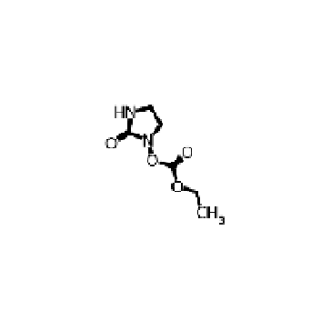 CCOC(=O)ON1CCNC1=O